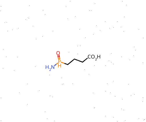 N[PH](=O)CCCC(=O)O